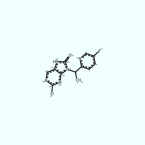 CC(c1ccc(F)cn1)n1c(=O)[nH]c2cnc(Cl)nc21